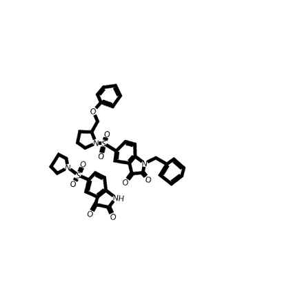 O=C1C(=O)N(Cc2ccccc2)c2ccc(S(=O)(=O)N3CCCC3COc3ccccc3)cc21.O=C1Nc2ccc(S(=O)(=O)N3CCCC3)cc2C1=O